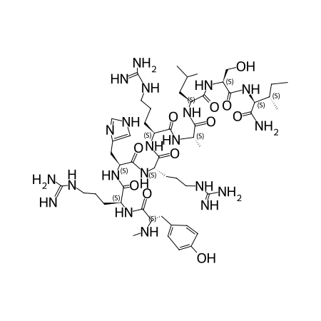 CC[C@H](C)[C@H](NC(=O)[C@H](CO)NC(=O)[C@H](CC(C)C)NC(=O)[C@H](C)NC(=O)[C@H](CCCNC(=N)N)NC(=O)[C@H](CCCNC(=N)N)NC(=O)[C@H](Cc1c[nH]cn1)NC(=O)[C@H](CCCNC(=N)N)NC(=O)[C@H](Cc1ccc(O)cc1)NC)C(N)=O